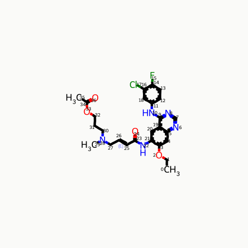 CCOc1cc2ncnc(Nc3ccc(F)c(Cl)c3)c2cc1NC(=O)/C=C/CN(C)CCCOC(C)=O